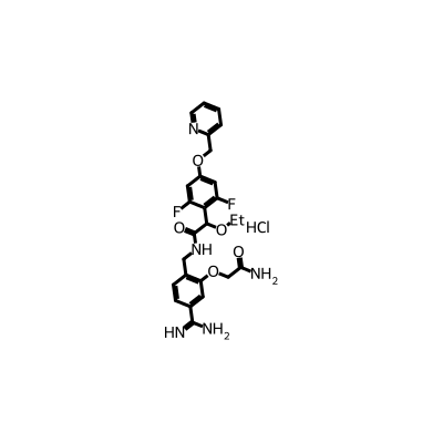 CCOC(C(=O)NCc1ccc(C(=N)N)cc1OCC(N)=O)c1c(F)cc(OCc2ccccn2)cc1F.Cl